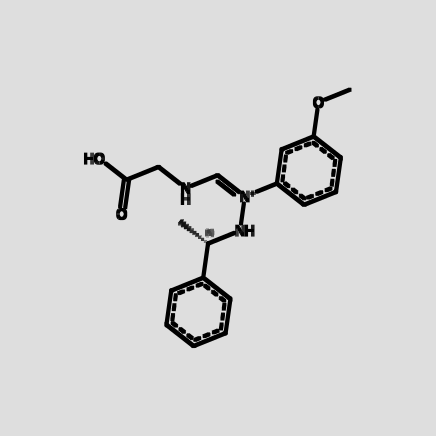 COc1cccc([N+](=CNCC(=O)O)N[C@@H](C)c2ccccc2)c1